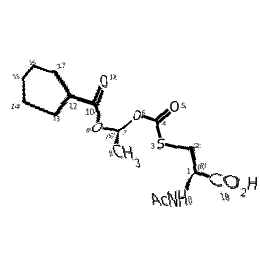 CC(=O)N[C@@H](CSC(=O)O[C@@H](C)OC(=O)C1CCCCC1)C(=O)O